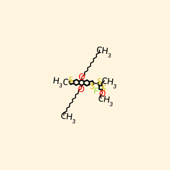 CCCCCCCCCCCCOc1c2cc3cc(-c4sc(C)c5sc(OCC)c(F)c45)sc3cc2c(OCCCCCCCCCCCC)c2cc3cc(C)sc3cc12